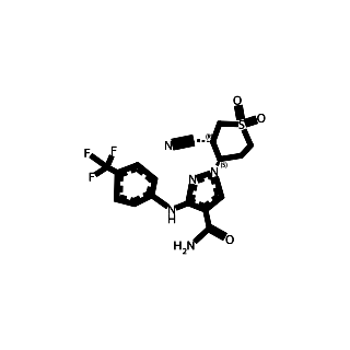 N#C[C@@H]1CS(=O)(=O)CC[C@@H]1n1cc(C(N)=O)c(Nc2ccc(C(F)(F)F)cc2)n1